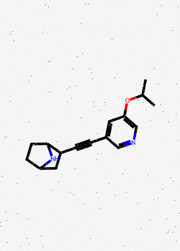 CC(C)Oc1cncc(C#CC2CC3CCC2N3)c1